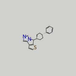 c1ccc([C@H]2CC[C@H]([C@H]3c4sccc4-c4cncn43)CC2)cc1